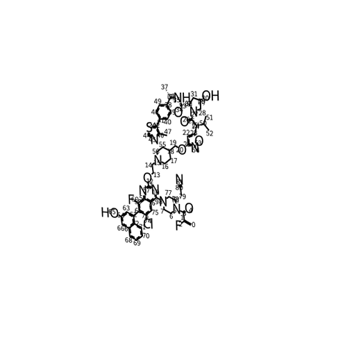 C=C(F)C(=O)N1CCN(c2nc(OCCN3CCC(COc4cc([C@@H](C(=O)N5C[C@H](O)C[C@H]5C(=O)N[C@@H](C)c5ccc(-c6scnc6C)cc5)C(C)C)on4)CC3)nc3c(F)c(-c4cc(O)cc5ccccc45)c(Cl)cc23)C[C@@H]1CC#N